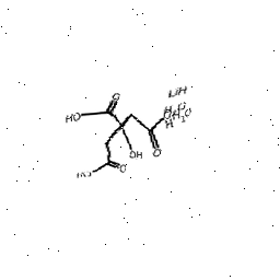 O.O.O=C(O)CC(O)(CC(=O)O)C(=O)O.[LiH]